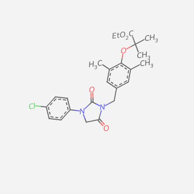 CCOC(=O)C(C)(C)Oc1c(C)cc(CN2C(=O)CN(c3ccc(Cl)cc3)C2=O)cc1C